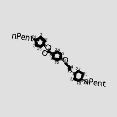 CCCCCc1ccc(OC(=O)c2ccc(OCC=C[C@H]3CC[C@H](CCCCC)CC3)cc2)cc1